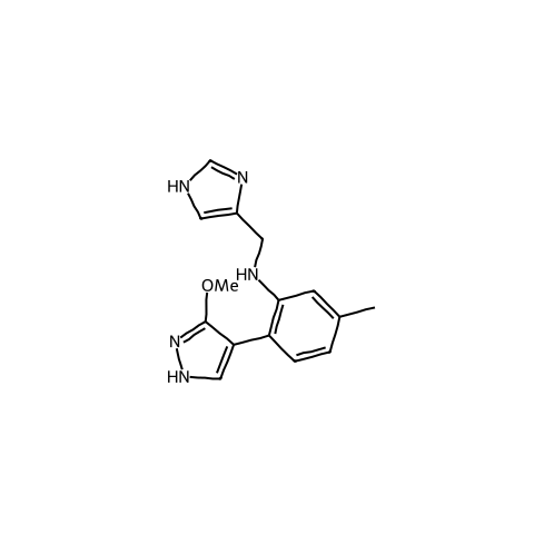 COc1n[nH]cc1-c1ccc(C)cc1NCc1c[nH]cn1